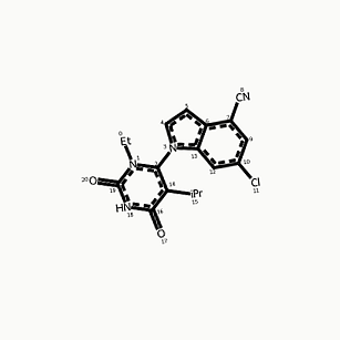 CCn1c(-n2ccc3c(C#N)cc(Cl)cc32)c(C(C)C)c(=O)[nH]c1=O